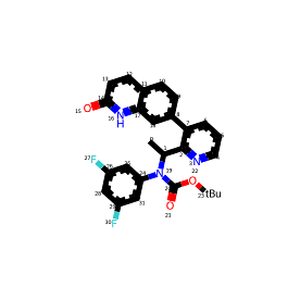 CC(c1ncccc1-c1ccc2ccc(=O)[nH]c2c1)N(C(=O)OC(C)(C)C)c1cc(F)cc(F)c1